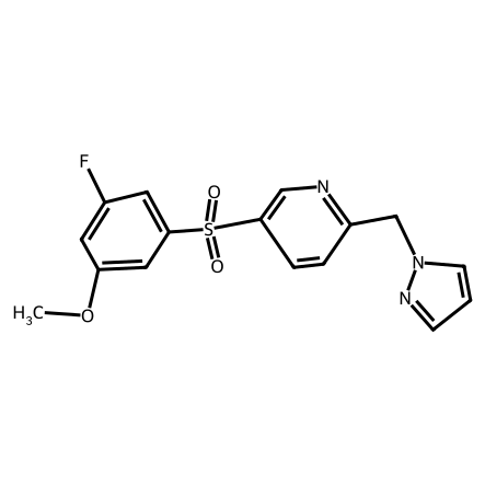 COc1cc(F)cc(S(=O)(=O)c2ccc(Cn3cccn3)nc2)c1